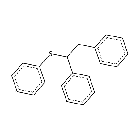 [c]1ccc(SC(Cc2ccccc2)c2ccccc2)cc1